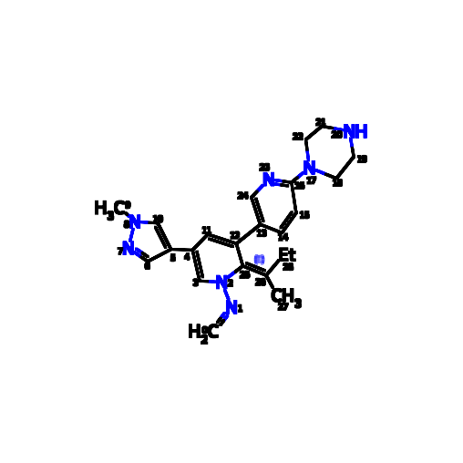 C=NN1C=C(c2cnn(C)c2)C=C(c2ccc(N3CCNCC3)nc2)/C1=C(/C)CC